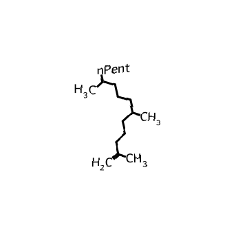 C=C(C)CCCC(C)CCCC(C)CCCCC